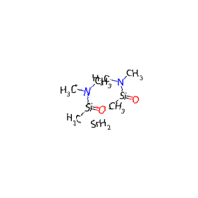 CN(C)[Si](C)=O.CN(C)[Si](C)=O.[SrH2]